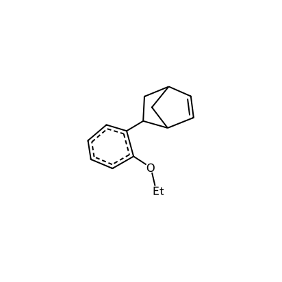 CCOc1ccccc1C1CC2C=CC1C2